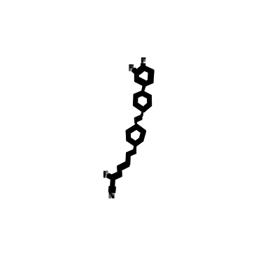 N#CC(F)=CC=CCC[C@H]1CC[C@H](CC[C@H]2CC[C@H](c3ccc(F)c(F)c3)CC2)CC1